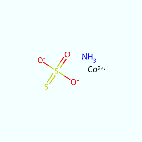 N.O=S([O-])([O-])=S.[Co+2]